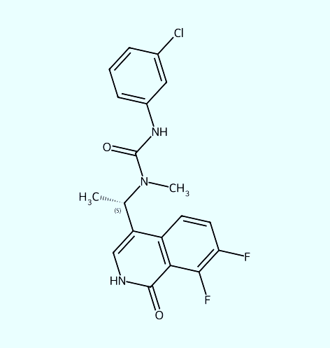 C[C@@H](c1c[nH]c(=O)c2c(F)c(F)ccc12)N(C)C(=O)Nc1cccc(Cl)c1